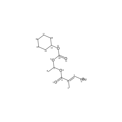 CCCCC=C(C)C(=O)OC(C)OC(=O)OC1CCCCC1